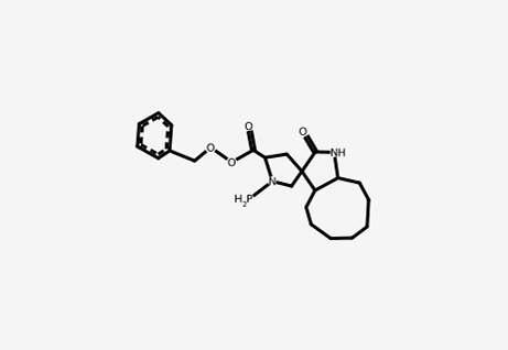 O=C(OOCc1ccccc1)C1CC2(CN1P)C(=O)NC1CCCCCCCC12